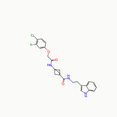 O=C(COc1ccc(Cl)c(F)c1)NC12CC(C(=O)NCCc3c[nH]c4ccccc34)(C1)C2